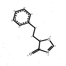 O=C1N=COC1CCc1ccccc1